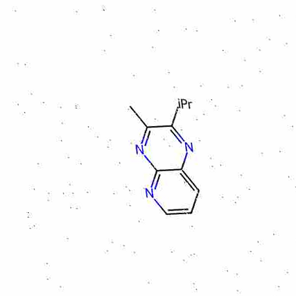 Cc1nc2ncccc2nc1C(C)C